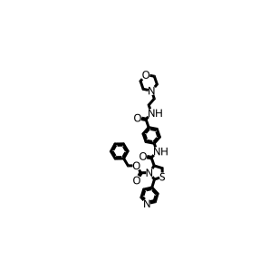 O=C(NCCN1CCOCC1)c1ccc(NC(=O)C2CSC(c3ccncc3)N2C(=O)OCc2ccccc2)cc1